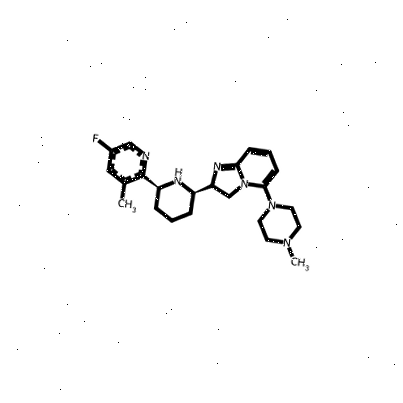 Cc1cc(F)cnc1[C@@H]1CCC[C@H](C2CN3C(N4CCN(C)CC4)=CC=CC3=N2)N1